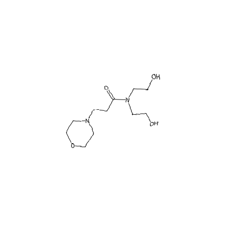 O=C(CCN1CCOCC1)N(CCO)CCO